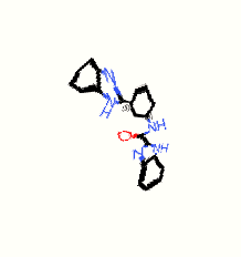 O=C(N[C@@H]1CCC[C@H](c2nc3ccccc3[nH]2)C1)c1nc2ccccc2[nH]1